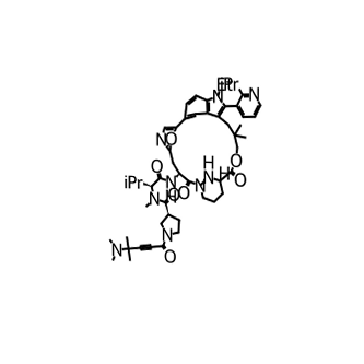 CCn1c(-c2cccnc2C(C)C)c2c3cc(ccc31)-c1cnc(o1)C[C@H](NC(=O)[C@H](C(C)C)N(C)C(=O)[C@H]1CCN(C(=O)C#CC(C)(C)N(C)C)C1)C(=O)N1CCC[C@H](N1)C(=O)OCC(C)(C)C2